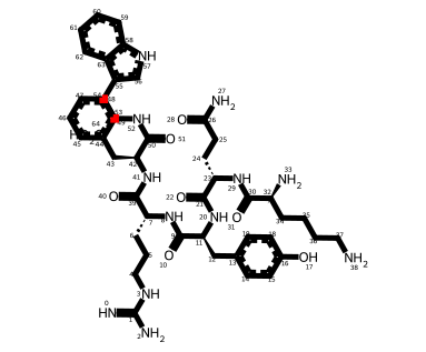 N=C(N)NCCC[C@@H](NC(=O)[C@H](Cc1ccc(O)cc1)NC(=O)[C@H](CCC(N)=O)NC(=O)[C@@H](N)CCCCN)C(=O)N[C@@H](Cc1ccccc1)C(=O)N[C@@H](Cc1c[nH]c2ccccc12)C(=O)O